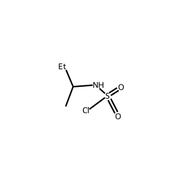 CCC(C)NS(=O)(=O)Cl